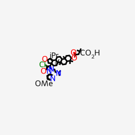 COc1ccc(-n2c(=O)c(Cl)c(C34CC[C@]5(C)C(CCC6C7(C)CCC(OC(=O)CC(C)(C)C(=O)O)C(C)(C)C7CCC65C)C3=C(C(C)C)C(=O)C4)n2CCN(C)C)cn1